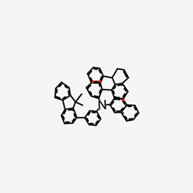 CC1(C)c2ccccc2-c2cccc(-c3cccc(N(c4ccc5ccccc5c4)c4ccccc4-c4cccc5c4C(c4ccccc4)CC=C5)c3)c21